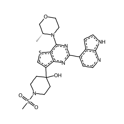 C[C@@H]1COCCN1c1nc(-c2ccnc3[nH]ccc23)nc2c(C3(O)CCN(S(C)(=O)=O)CC3)csc12